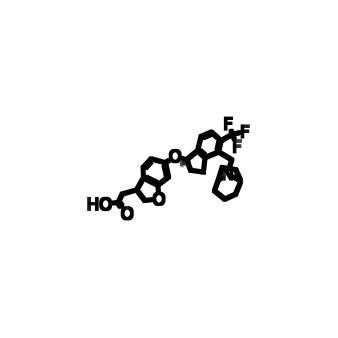 O=C(O)CC1COc2cc(O[C@@H]3CCc4c3ccc(C(F)(F)F)c4CN3C4CCCC3CC4)ccc21